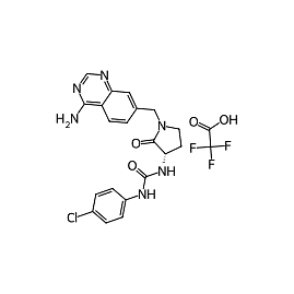 Nc1ncnc2cc(CN3CC[C@H](NC(=O)Nc4ccc(Cl)cc4)C3=O)ccc12.O=C(O)C(F)(F)F